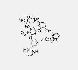 CCOC(=O)CCc1cc(Oc2nc(Oc3cc(C#N)ccc3OCc3ccccc3)nc(NC(CCC(=O)O)C(=O)O)c2[N+](=O)[O-])cc(C2NC=CCN2)c1